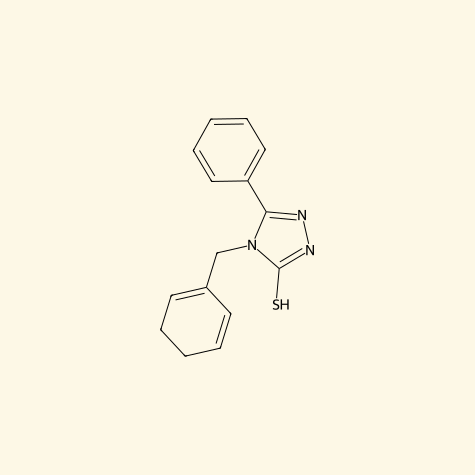 Sc1nnc(-c2ccccc2)n1CC1=CCCC=C1